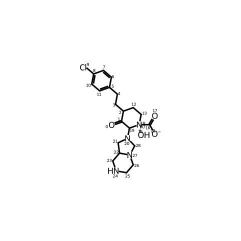 O=C1C(CCc2ccc(Cl)cc2)CC[N@@+](O)(C(=O)[O-])C1N1CC2CNCCN2C1